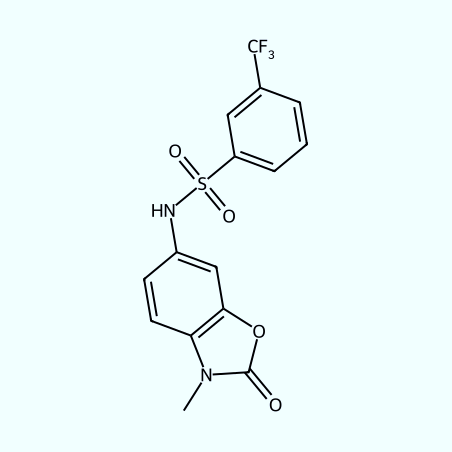 Cn1c(=O)oc2cc(NS(=O)(=O)c3cccc(C(F)(F)F)c3)ccc21